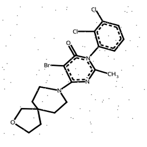 Cc1nc(N2CCC3(CCOC3)CC2)c(Br)c(=O)n1-c1cccc(Cl)c1Cl